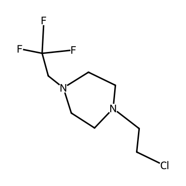 FC(F)(F)CN1CCN(CCCl)CC1